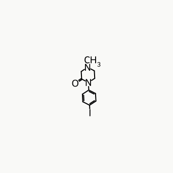 CN1CCN(c2ccc(I)cc2)C(=O)C1